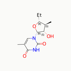 CC[C@H]1O[C@@H](n2cc(C)c(=O)[nH]c2=O)[C@@H](O)[C@@H]1C